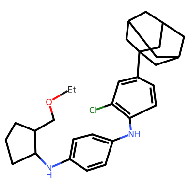 CCOCC1CCCC1Nc1ccc(Nc2ccc(C34CC5CC(CC(C5)C3)C4)cc2Cl)cc1